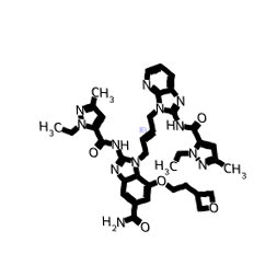 CCn1nc(C)cc1C(=O)NC1=NC2C=C(C(N)=O)C=C(OCCC3COC3)C2N1C/C=C/Cn1c(NC(=O)c2cc(C)nn2CC)nc2cccnc21